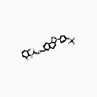 FC(F)(F)Oc1ccc(-n2nnc3c4ccc(/C=N/NC(=S)Nc5c(Cl)cccc5Cl)cc4ccc32)cc1